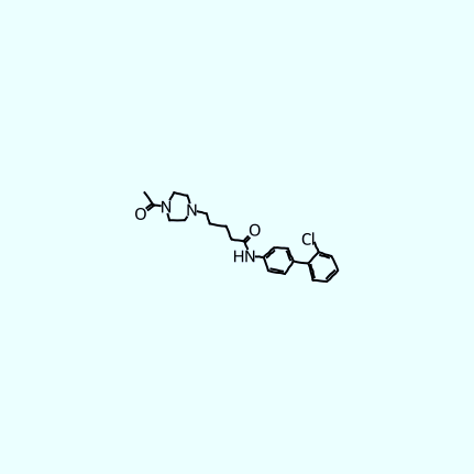 CC(=O)N1CCN(CCCCC(=O)Nc2ccc(-c3ccccc3Cl)cc2)CC1